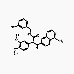 CCOc1cc(C(Nc2ccc3c(N)nccc3c2)C(=O)NCc2cccc(C#N)c2)ccc1OC(C)C